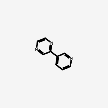 [c]1cnc(-c2cccnc2)cn1